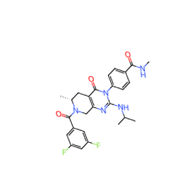 CNC(=O)c1ccc(-n2c(NC(C)C)nc3c(c2=O)C[C@@H](C)N(C(=O)c2cc(F)cc(F)c2)C3)cc1